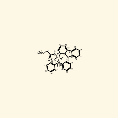 CCCCCCCCCCCC(=O)[NH][Hf]([Cl])([Cl])([c]1cccc2c1Cc1ccccc1-2)[SiH](c1ccccc1)c1ccccc1